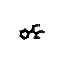 COC(OC)C(=NO)c1ccccc1